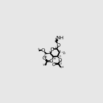 COC[C@H]1O[C@@H](OC=N)[C@H](C)[C@@H](OC(C)=O)[C@H]1OC(C)=O